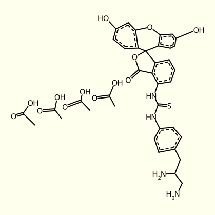 CC(=O)O.CC(=O)O.CC(=O)O.CC(=O)O.NCC(N)Cc1ccc(NC(=S)Nc2cccc3c2C(=O)OC32c3ccc(O)cc3Oc3cc(O)ccc32)cc1